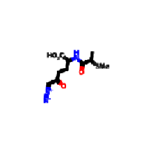 CSC(C)C(=O)NC(CCC(=O)C=[N+]=[N-])C(=O)O